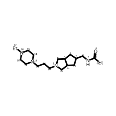 CCC(=O)NCC1CC2CN(CCCN3CCN(CC)CC3)CC2C1